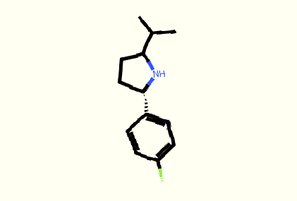 CC(C)C1CC[C@@H](c2ccc(F)cc2)N1